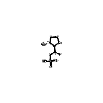 C[C@@H](CP(=O)(O)O)C1OCC[C@H]1O